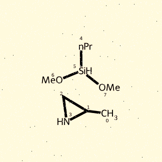 CC1CN1.CCC[SiH](OC)OC